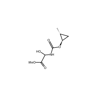 COC(=O)C(O)NC(=O)O[C@@H]1C[C@H]1C